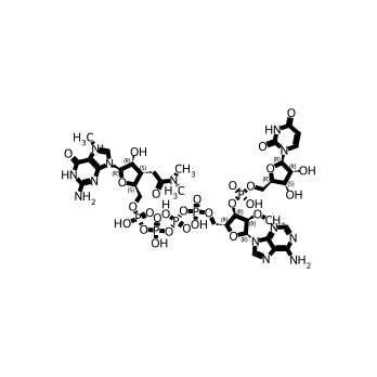 CO[C@@H]1[C@H](OP(=O)(O)OC[C@H]2O[C@@H](n3ccc(=O)[nH]c3=O)[C@H](O)[C@@H]2O)[C@@H](COP(=O)(O)OP(=O)(O)OP(=O)(O)OP(=O)(O)OC[C@H]2O[C@@H](n3c[n+](C)c4c(=O)[nH]c(N)nc43)[C@H](O)[C@@H]2CC(=O)N(C)C)O[C@H]1n1cnc2c(N)ncnc21